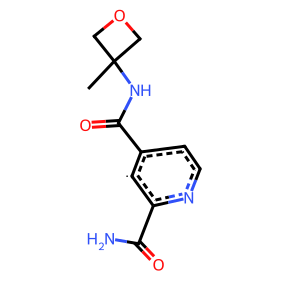 CC1(NC(=O)c2[c]c(C(N)=O)ncc2)COC1